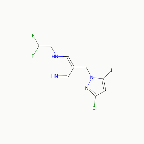 N=C/C(=C\NCC(F)F)Cn1nc(Cl)cc1I